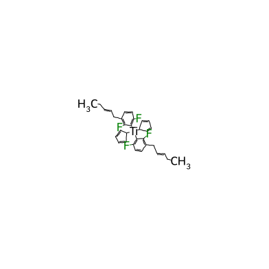 CCC=CCc1ccc(F)[c]([Ti]([c]2c(F)ccc(CC=CCC)c2F)([CH]2C=CC=C2)[CH]2C=CC=C2)c1F